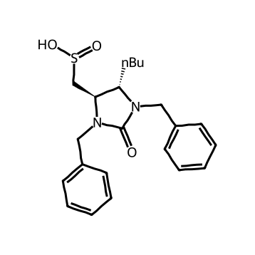 CCCC[C@H]1[C@H](CS(=O)O)N(Cc2ccccc2)C(=O)N1Cc1ccccc1